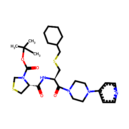 CC(C)(C)OC(=O)N1CSC[C@H]1C(=O)N[C@@H](CSCC1CCCCC1)C(=O)N1CCN(c2ccncc2)CC1